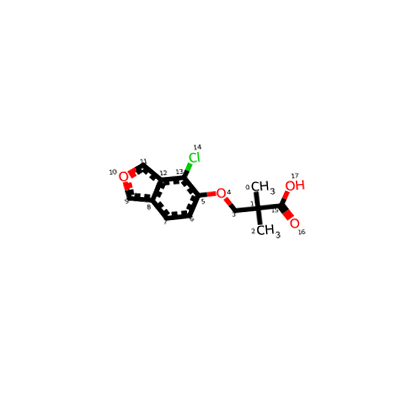 CC(C)(COc1ccc2co[c]c2c1Cl)C(=O)O